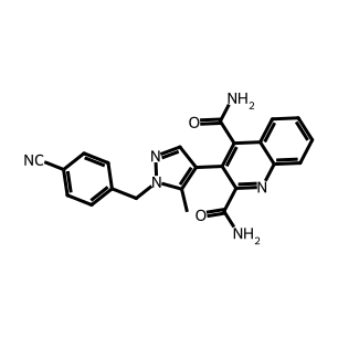 Cc1c(-c2c(C(N)=O)nc3ccccc3c2C(N)=O)cnn1Cc1ccc(C#N)cc1